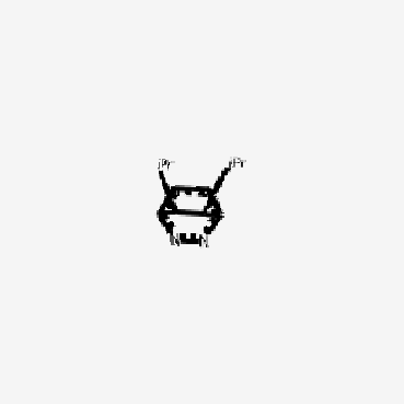 CC(C)C1c2ccc(nn2)C1C(C)C